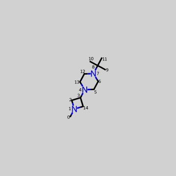 CN1CC(N2CCN(C(C)(C)C)CC2)C1